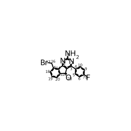 Nc1nc(-c2ccc(F)cc2)c2c(n1)-c1c(CBr)cccc1C2=O